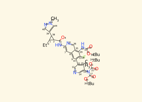 CCC1C(C(=O)Nc2cc3cc(-c4cncc(N(C(=O)OC(C)(C)C)C(=O)OC(C)(C)C)c4C)c(F)c(NC(=O)OC(C)(C)C)c3cn2)C1c1cnn(C)c1